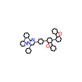 c1ccc(-c2cc(-c3ccc(-c4ccc(-c5cccc6oc7ccccc7c56)c5c4oc4ccccc45)cc3)nc(-c3ccccc3-c3ccccn3)n2)cc1